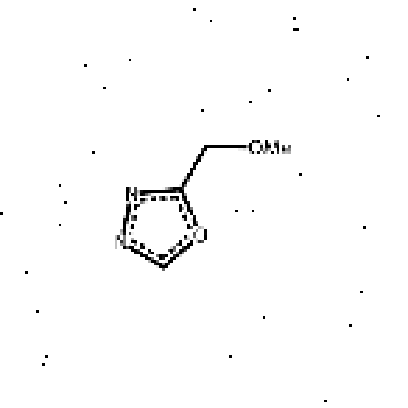 COCc1nnco1